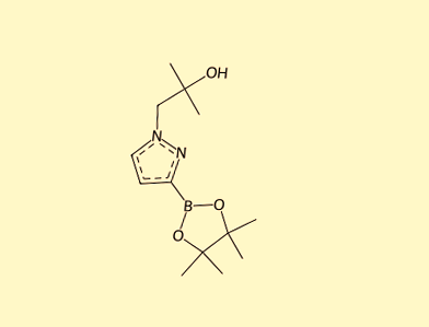 CC(C)(O)Cn1ccc(B2OC(C)(C)C(C)(C)O2)n1